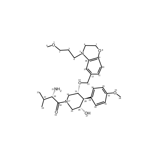 COCCCN1CCOc2ccc(CO[C@H]3CN(C(=O)[C@@H](N)C(C)C)C[C@@H](O)[C@@H]3c3ccc(OC)cc3)cc21